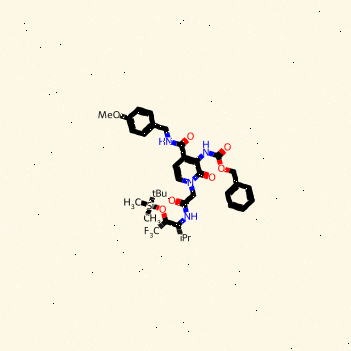 COc1ccc(CNC(=O)c2ccn(CC(=O)NC(C(C)C)C(O[Si](C)(C)C(C)(C)C)C(F)(F)F)c(=O)c2NC(=O)OCc2ccccc2)cc1